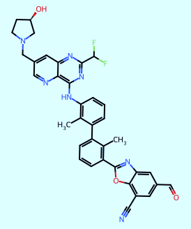 Cc1c(Nc2nc(C(F)F)nc3cc(CN4CC[C@@H](O)C4)cnc23)cccc1-c1cccc(-c2nc3cc(C=O)cc(C#N)c3o2)c1C